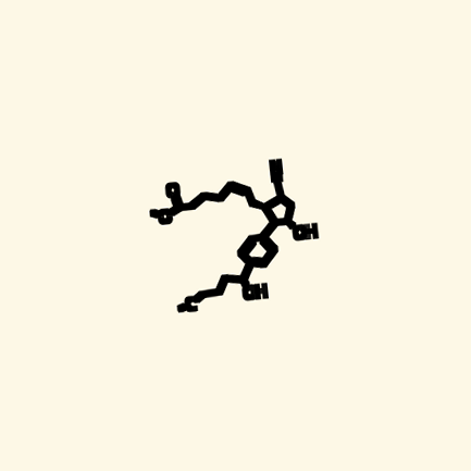 CCCCCC(O)c1ccc(C2[C@@H](C/C=C\CCCC(=O)OC)C(C#N)C[C@H]2O)cc1